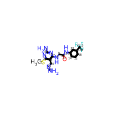 CSc1nc(N)nc(NCC(=O)Nc2cccc(C(F)(F)F)c2)c1C=NN